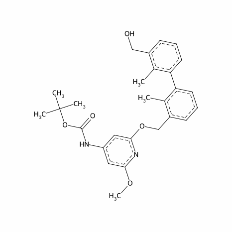 COc1cc(NC(=O)OC(C)(C)C)cc(OCc2cccc(-c3cccc(CO)c3C)c2C)n1